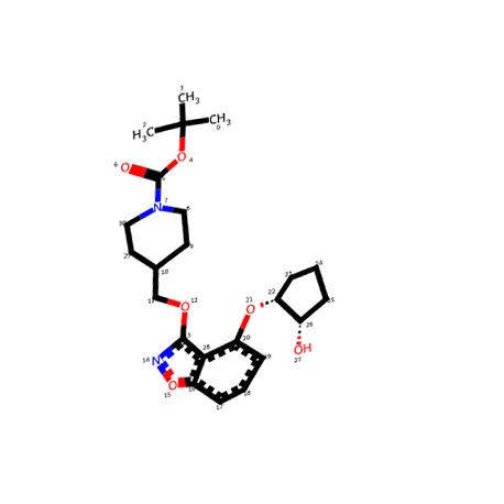 CC(C)(C)OC(=O)N1CCC(COc2noc3cccc(O[C@@H]4CCC[C@@H]4O)c23)CC1